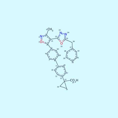 Cc1noc(-c2ccc(-c3ccc(C4(C(=O)O)CC4)cc3)cc2)c1-c1nnc(Cc2ccccc2)o1